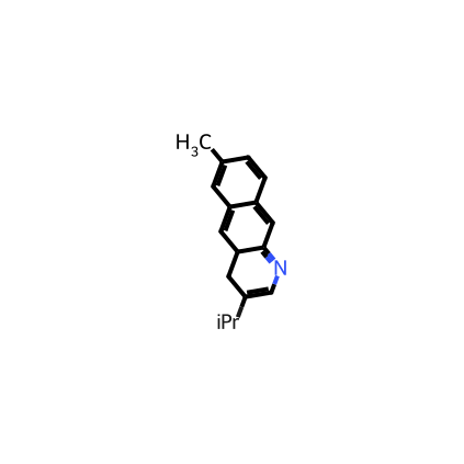 Cc1ccc2c(c1)=CC1CC(C(C)C)=CN=C1C=2